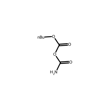 CCCCOC(=O)OC(N)=O